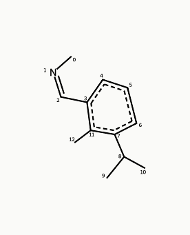 C/N=C\c1cccc(C(C)C)c1C